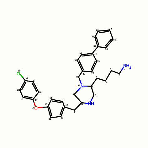 NCCCCC1CNC(Cc2ccc(Oc3ccc(Cl)cc3)cc2)CN1Cc1ccc(-c2ccccc2)cc1